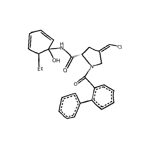 CCC1C=CC=CC1(O)NC(=O)[C@@H]1CC(=CCl)CN1C(=O)c1ccccc1-c1ccccc1